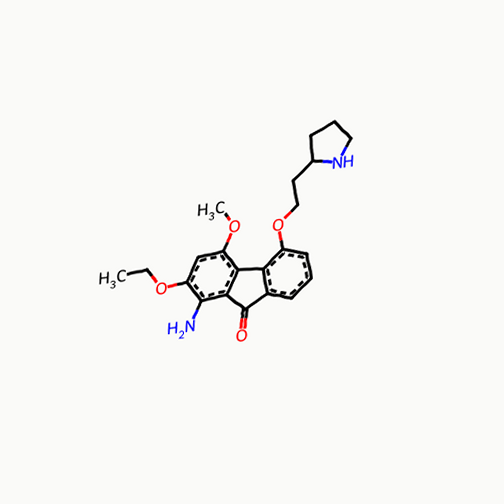 CCOc1cc(OC)c2c(c1N)C(=O)c1cccc(OCCC3CCCN3)c1-2